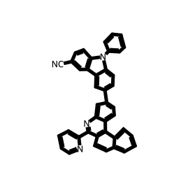 N#Cc1ccc2c(c1)c1cc(-c3ccc4c(c3)nc(-c3ccccn3)c3ccc5ccccc5c34)ccc1n2-c1ccccc1